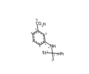 CCCC(C)(CC)Nc1cccc(C(=O)O)c1